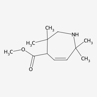 COC(=O)C1C=CC(C)(C)NCC1(C)C